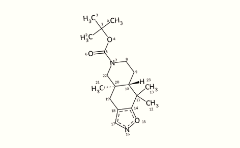 CC(C)(C)OC(=O)N1CC[C@@H]2C(C)(C)c3oncc3C[C@@]2(C)C1